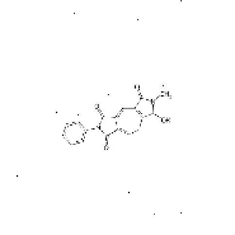 CN1C(=O)C2=C(CC=C3C(=O)N(c4ccccc4)C(=O)C3=C2)C1O